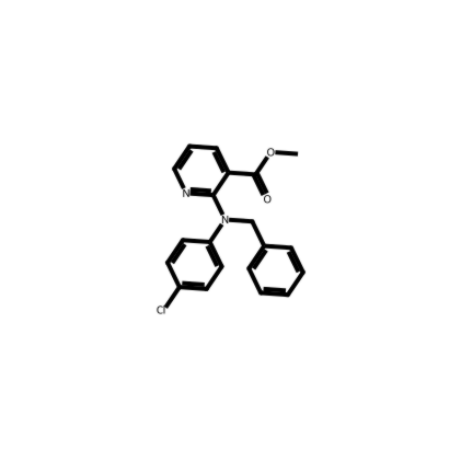 COC(=O)c1cccnc1N(Cc1ccccc1)c1ccc(Cl)cc1